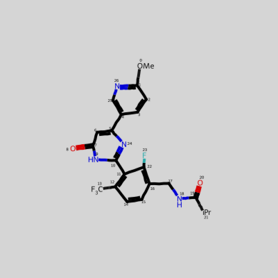 COc1ccc(-c2cc(=O)[nH]c(-c3c(C(F)(F)F)ccc(CNC(=O)C(C)C)c3F)n2)cn1